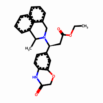 CCOC(=O)C[C@@H](c1ccc2c(c1)OCC(=O)N2)N(Cc1ccccc1)C(C)c1ccccc1